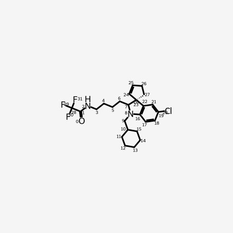 O=C(NCCCCC1N(CC2CCCCC2)c2ccc(Cl)cc2[C@]12C=CCC2)C(F)(F)F